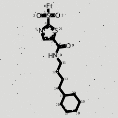 CCS(=O)(=O)c1ncc(C(=O)NCCCCC2CCCCC2)s1